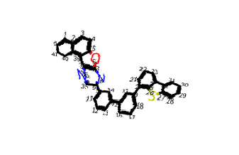 C1=Cc2ccc3oc4nc(-c5cccc(-c6cccc(-c7cccc8c7sc7ccccc78)c6)c5)cnc4c3c2CC1